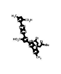 CCCCC(CC)C[Si]1(CC(CC)CCCC)c2cc(C)sc2-c2sc(-c3cc(C(=O)O)c(-c4nc5sc(-c6sc(C)cc6C(=O)O)nc5s4)s3)cc21